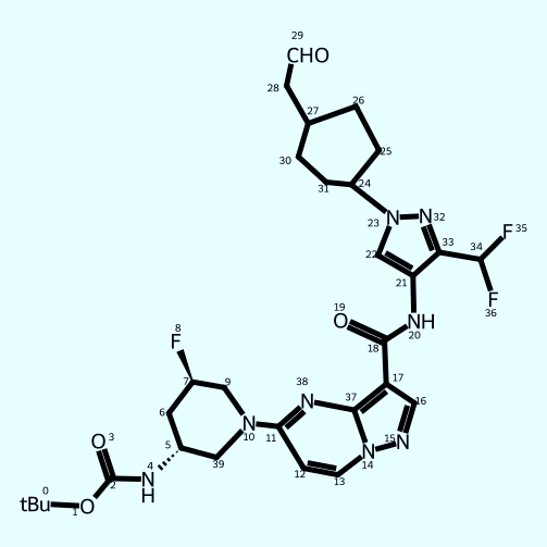 CC(C)(C)OC(=O)N[C@@H]1C[C@@H](F)CN(c2ccn3ncc(C(=O)Nc4cn(C5CCC(CC=O)CC5)nc4C(F)F)c3n2)C1